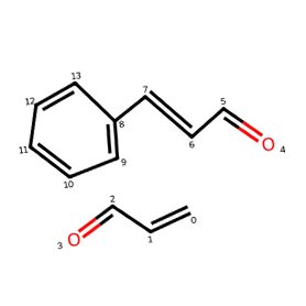 C=CC=O.O=CC=Cc1ccccc1